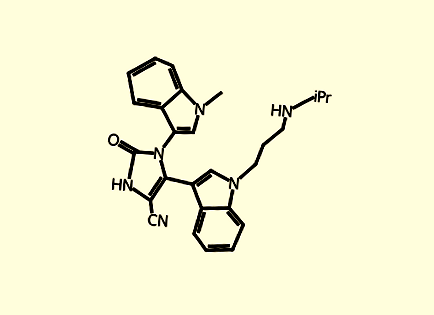 CC(C)NCCCn1cc(-c2c(C#N)[nH]c(=O)n2-c2cn(C)c3ccccc23)c2ccccc21